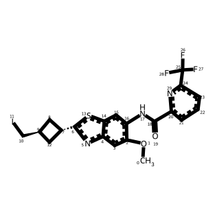 COc1cc2nc([C@H]3C[C@H](CI)C3)sc2cc1NC(=O)c1cccc(C(F)(F)F)n1